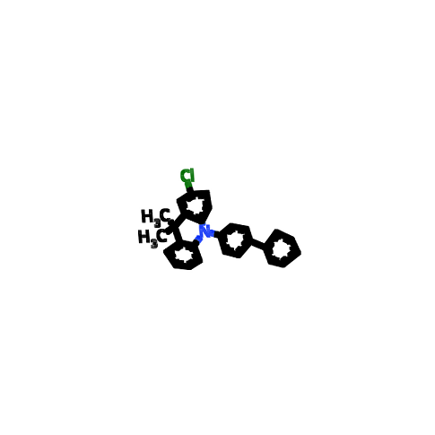 CC1(C)c2ccccc2N(c2ccc(-c3ccccc3)cc2)c2ccc(Cl)cc21